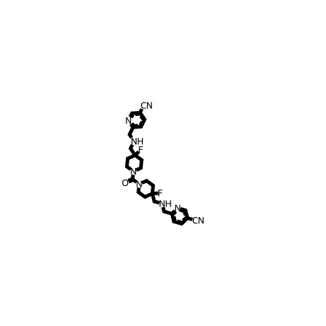 N#Cc1ccc(CNCC2(F)CCN(C(=O)N3CCC(F)(CNCc4ccc(C#N)cn4)CC3)CC2)nc1